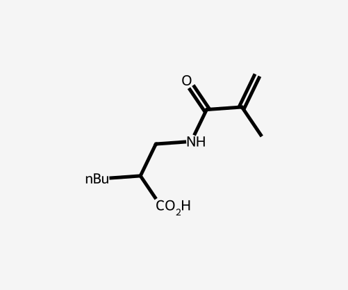 C=C(C)C(=O)NCC(CCCC)C(=O)O